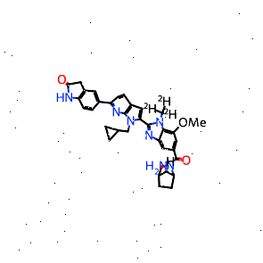 [2H]C([2H])([2H])n1c(-c2cc3ccc(-c4ccc5c(c4)CC(=O)N5)nc3n2CC2CC2)nc2cc(C(=O)N3CC4CCC3[C@@H]4N)cc(OC)c21